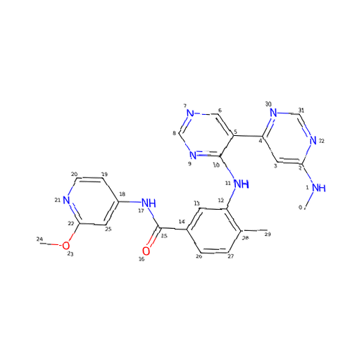 CNc1cc(-c2cncnc2Nc2cc(C(=O)Nc3ccnc(OC)c3)ccc2C)ncn1